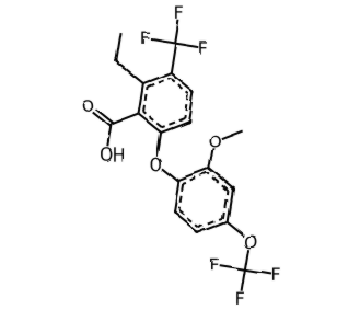 CCc1c(C(F)(F)F)ccc(Oc2ccc(OC(F)(F)F)cc2OC)c1C(=O)O